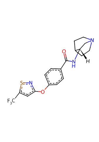 O=C(N[C@H]1CN2CCC1CC2)c1ccc(Oc2cc(C(F)(F)F)sn2)cc1